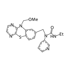 CCNC(=O)N(Cc1ccc2c(c1)N(COC)c1nccnc1S2)c1cccnc1